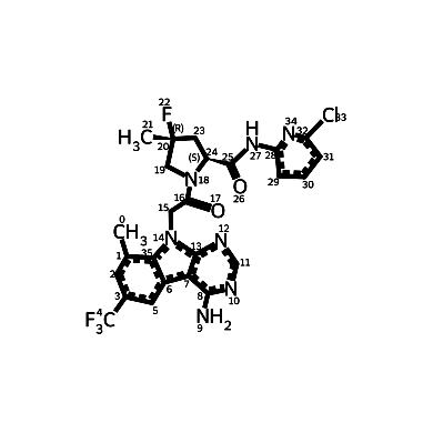 Cc1cc(C(F)(F)F)cc2c3c(N)ncnc3n(CC(=O)N3C[C@](C)(F)C[C@H]3C(=O)Nc3cccc(Cl)n3)c12